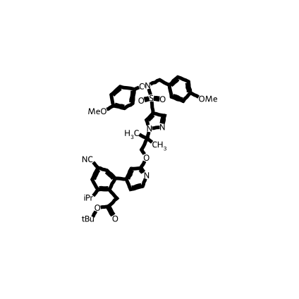 COc1ccc(CN(Cc2ccc(OC)cc2)S(=O)(=O)c2cnn(C(C)(C)COc3cc(-c4cc(C#N)cc(C(C)C)c4CC(=O)OC(C)(C)C)ccn3)c2)cc1